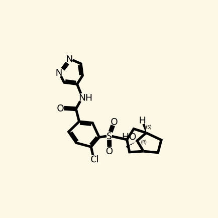 C[C@@]1(O)C2CC[C@H]1CC(S(=O)(=O)c1cc(C(=O)Nc3ccnnc3)ccc1Cl)C2